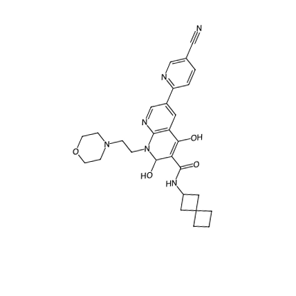 N#Cc1ccc(-c2cnc3c(c2)C(O)=C(C(=O)NC2CC4(CCC4)C2)C(O)N3CCN2CCOCC2)nc1